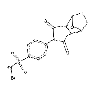 O=C1C2C3CCC(O3)C2C(=O)N1c1ccc(S(=O)(=O)NBr)cc1